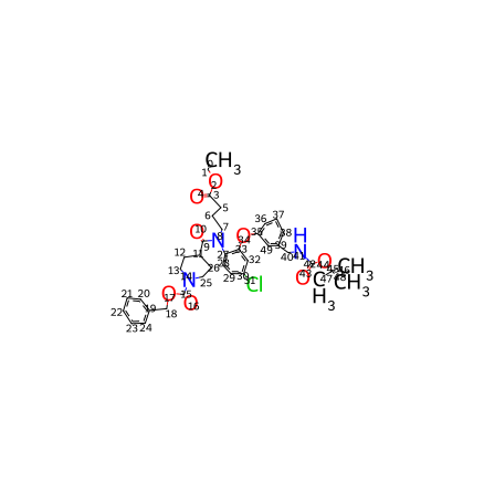 CCOC(=O)CCCN(C(=O)C1CCN(C(=O)OCc2ccccc2)CC1)c1ccc(Cl)cc1Oc1cccc(CNC(=O)OC(C)(C)C)c1